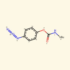 CCCCNC(=O)Oc1ccc(N=[N+]=[N-])cc1